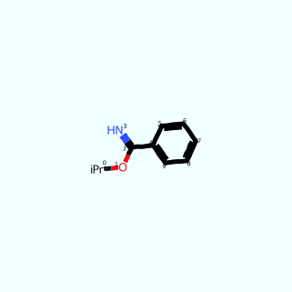 CC(C)OC(=N)c1[c]cccc1